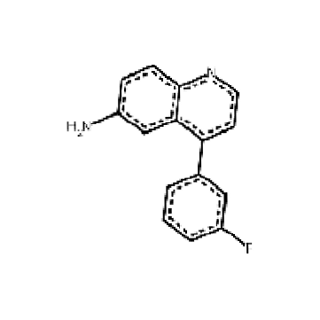 Nc1ccc2nccc(-c3cccc(F)c3)c2c1